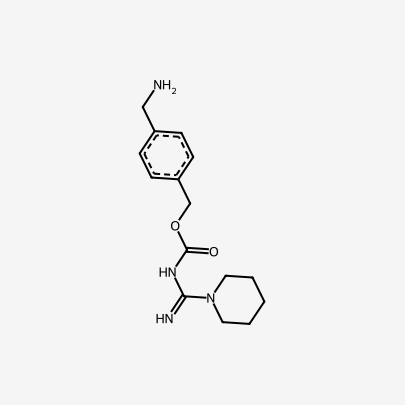 N=C(NC(=O)OCc1ccc(CN)cc1)N1CCCCC1